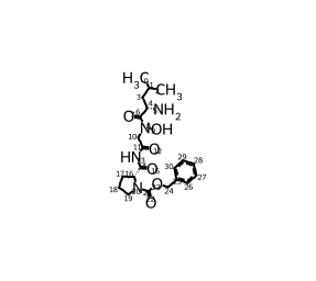 CC(C)C[C@H](N)C(=O)N(O)CC(=O)NC(=O)[C@H]1CCCN1C(=O)OCc1ccccc1